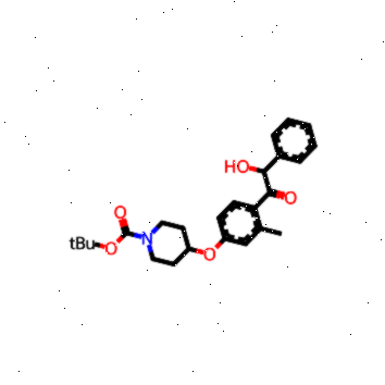 Cc1cc(OC2CCN(C(=O)OC(C)(C)C)CC2)ccc1C(=O)C(O)c1ccccc1